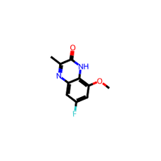 COc1cc(F)cc2nc(C)c(=O)[nH]c12